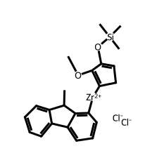 COC1=[C]([Zr+2][c]2cccc3c2C(C)c2ccccc2-3)CC=C1O[Si](C)(C)C.[Cl-].[Cl-]